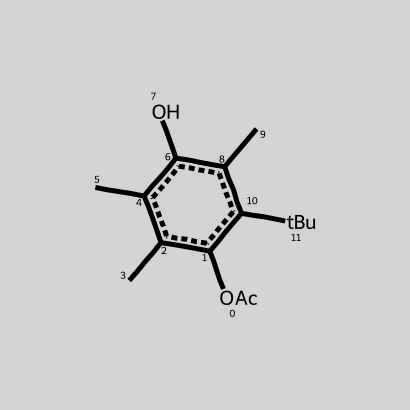 CC(=O)Oc1c(C)c(C)c(O)c(C)c1C(C)(C)C